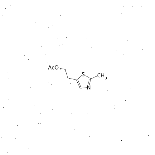 CC(=O)OCCc1cnc(C)s1